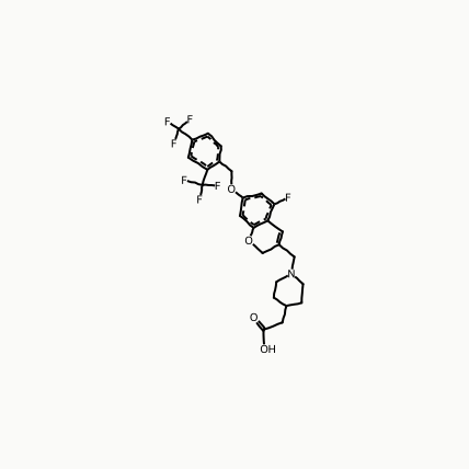 O=C(O)CC1CCN(CC2=Cc3c(F)cc(OCc4ccc(C(F)(F)F)cc4C(F)(F)F)cc3OC2)CC1